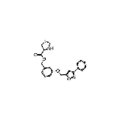 O=C(OCc1cccc(OCc2cc(-c3ccccc3)no2)c1)C1CSCN1